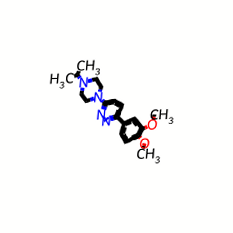 COc1ccc(-c2ccc(N3CCN(C(C)C)CC3)nn2)cc1OC